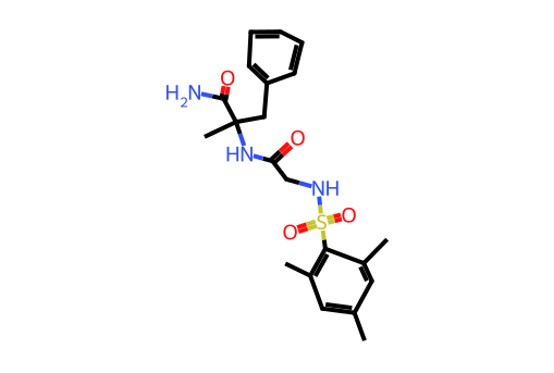 Cc1cc(C)c(S(=O)(=O)NCC(=O)NC(C)(Cc2ccccc2)C(N)=O)c(C)c1